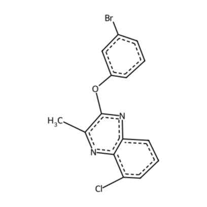 Cc1nc2c(Cl)cccc2nc1Oc1cccc(Br)c1